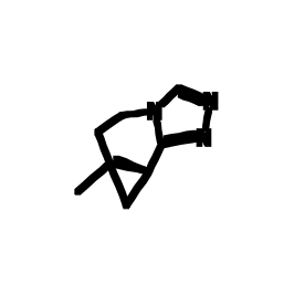 CC12CCn3cnnc3C1(C)C2